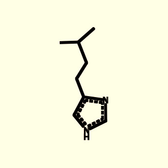 CC(C)CCc1c[nH]cn1